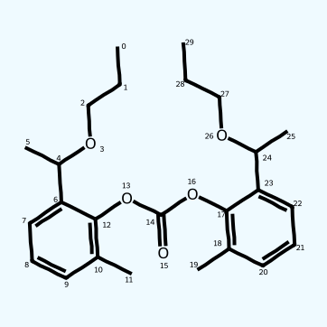 CCCOC(C)c1cccc(C)c1OC(=O)Oc1c(C)cccc1C(C)OCCC